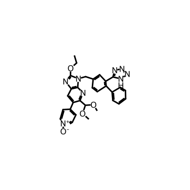 CCOc1nc2cc(-c3cc[n+]([O-])cc3)c(C(OC)OC)nc2n1Cc1ccc(-c2ccccc2)c(-c2nnn[nH]2)c1